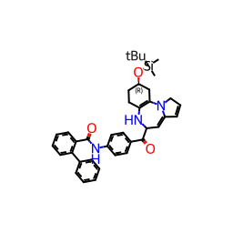 CC(C)(C)[Si](C)(C)O[C@@H]1CCC2=C(C1)N1CC=CC1=CC(C(=O)c1ccc(NC(=O)c3ccccc3-c3ccccc3)cc1)N2